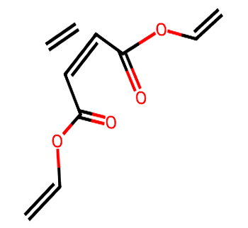 C=C.C=COC(=O)/C=C\C(=O)OC=C